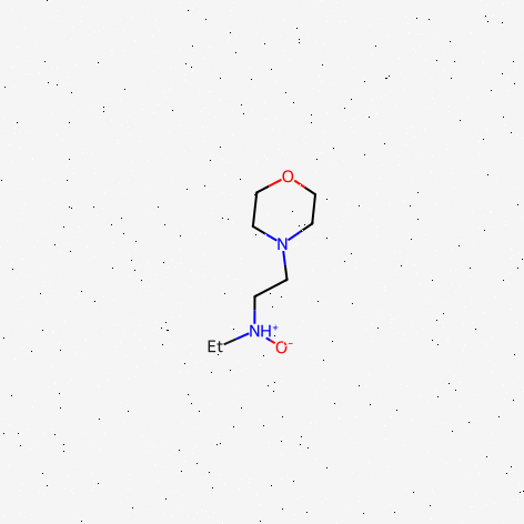 CC[NH+]([O-])CCN1CCOCC1